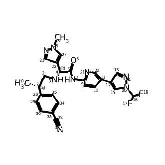 C[C@H](CN[C@@H](C(=O)Nc1ccc(-c2cnn(C(F)F)c2)cn1)c1cnn(C)c1)c1ccc(C#N)cc1